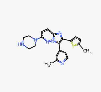 Cc1cc(-c2c(-c3ccc(C)s3)nc3ccc(N4CCNCC4)nn23)ccn1